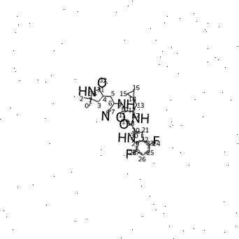 CC1(C)CC(CC(C#N)NC(=O)C(CC2CC2)NC(=O)c2cc3c(F)ccc(F)c3[nH]2)C(=O)N1